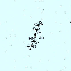 CN(C)C(=O)SC(=S)NCCNC(=S)SC(=O)N(C)C.[Zn]